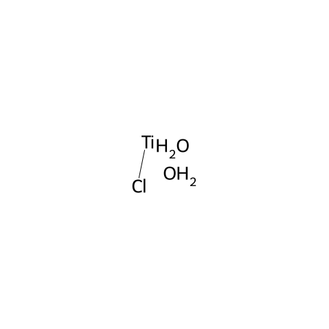 O.O.[Cl][Ti]